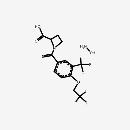 NO.O=C(O)C1CCN1C(=S)c1ccc(OCC(F)(F)F)c(C(F)(F)F)c1